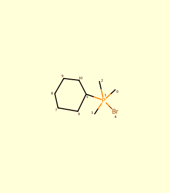 CP(C)(C)(Br)C1CCCCC1